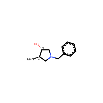 CN[C@@H]1CN(Cc2ccccc2)C[C@H]1O